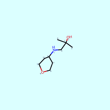 CC(C)(O)CNC1CCOCC1